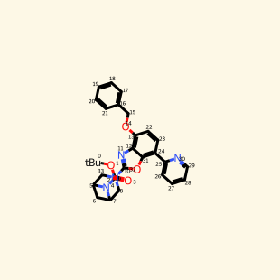 CC(C)(C)OC(=O)N1C2CC1CN(c1nc3c(OCc4ccccc4)ccc(-c4ccccn4)c3o1)C2